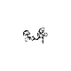 O=C(c1nccs1)N1CC(CC2=NC3(CCOC3)C(=O)N2)C1